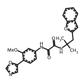 COc1cc(NC(=O)C(=O)NC(C)(C)Cc2cc3ccccc3o2)ccc1-c1cnco1